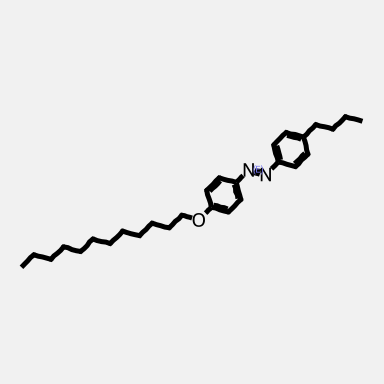 CCCCCCCCCCCCOc1ccc(/N=N/c2ccc(CCCC)cc2)cc1